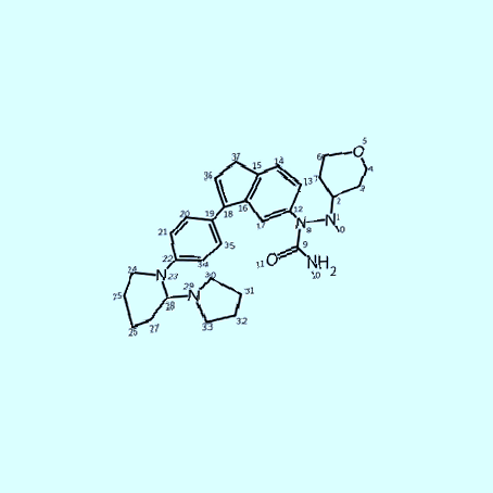 CN(C1CCOCC1)N(C(N)=O)c1ccc2c(c1)C(c1ccc(N3CCCCC3N3CCCC3)cc1)=CC2